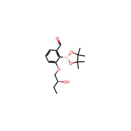 CC[C@H](O)COc1cccc(C=O)c1B1OC(C)(C)C(C)(C)O1